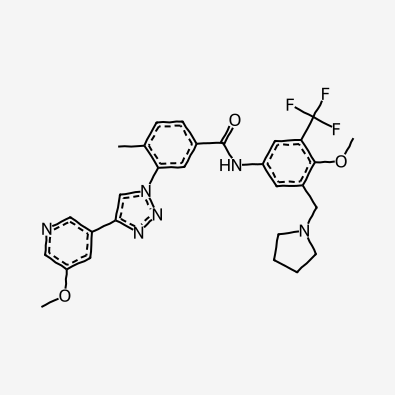 COc1cncc(-c2cn(-c3cc(C(=O)Nc4cc(CN5CCCC5)c(OC)c(C(F)(F)F)c4)ccc3C)nn2)c1